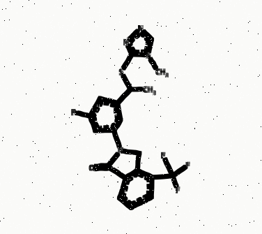 CC(Sc1nncn1C)c1cc(F)cc(N2Cc3c(cccc3C(F)(F)F)C2=O)c1